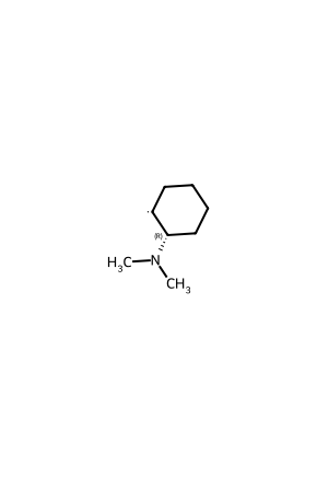 CN(C)[C@@H]1[CH]CCCC1